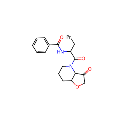 CC(C)CC(NC(=O)c1ccccc1)C(=O)N1CCCC2OCC(=O)C21